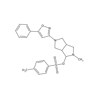 Cc1ccc(S(=O)(=O)OC2C3CN(c4cc(-c5ccccc5)on4)CC3CN2C)cc1